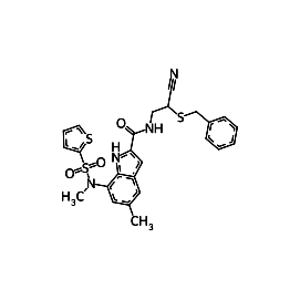 Cc1cc(N(C)S(=O)(=O)c2cccs2)c2[nH]c(C(=O)NCC(C#N)SCc3ccccc3)cc2c1